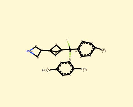 Cc1ccc(S(=O)(=O)O)cc1.FC(F)(F)c1ccc(C(F)(F)C23CC(C4CNC4)(C2)C3)cc1